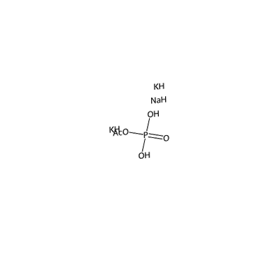 CC(=O)OP(=O)(O)O.[KH].[KH].[NaH]